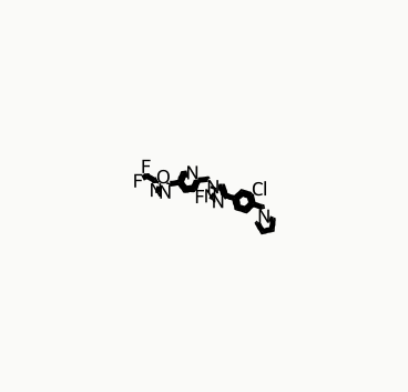 Fc1cc(-c2nnc(C(F)F)o2)cnc1Cn1cc(-c2ccc(CN3CCCC3)c(Cl)c2)nn1